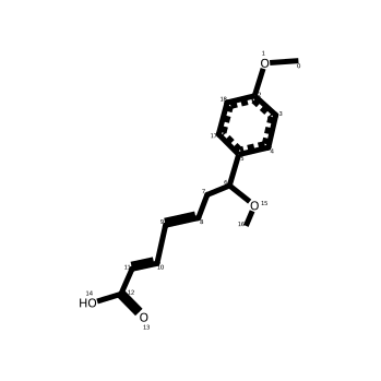 COc1ccc(C(CC=CC=CC(=O)O)OC)cc1